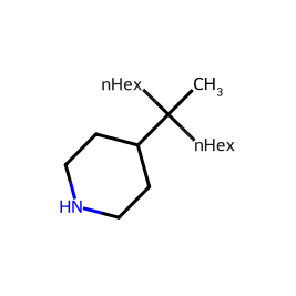 CCCCCCC(C)(CCCCCC)C1CCNCC1